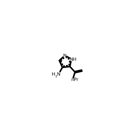 C=C(CCC)c1[nH]ncc1N